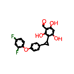 O=Cc1c(O)cc(O)c(C2CC2c2ccc(Oc3ccc(F)cc3F)cc2)c1O